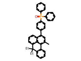 CCC1(CC)c2ccccc2-c2c(C)cc(-c3ccc(P(=O)(c4ccccc4)c4ccccc4)cc3)c3cccc1c23